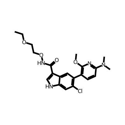 CCOCCONC(=O)c1c[nH]c2cc(Cl)c(-c3ccc(N(C)C)nc3OC)cc12